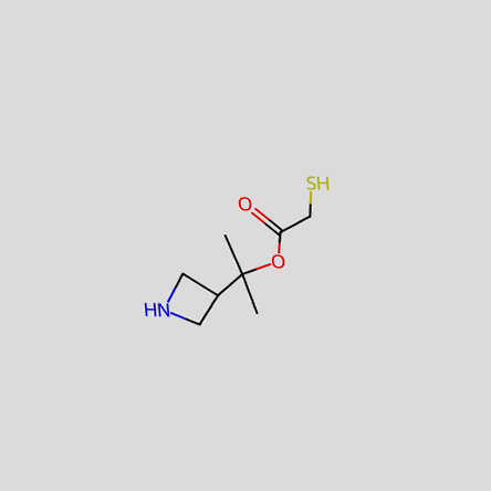 CC(C)(OC(=O)CS)C1CNC1